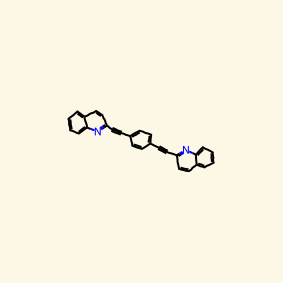 C(#Cc1ccc2ccccc2n1)c1ccc(C#Cc2ccc3ccccc3n2)cc1